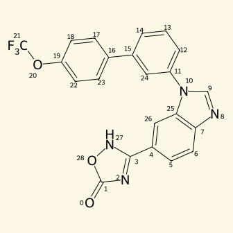 O=c1nc(-c2ccc3ncn(-c4cccc(-c5ccc(OC(F)(F)F)cc5)c4)c3c2)[nH]o1